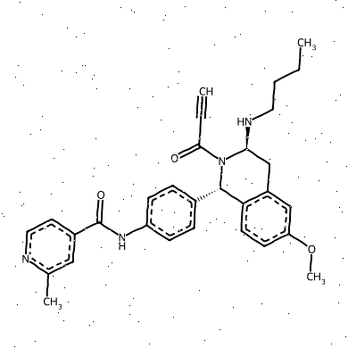 C#CC(=O)N1[C@@H](c2ccc(NC(=O)c3ccnc(C)c3)cc2)c2ccc(OC)cc2C[C@@H]1NCCCC